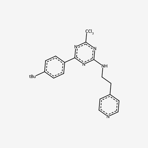 CC(C)(C)c1ccc(-c2nc(NCCc3ccncc3)nc(C(Cl)(Cl)Cl)n2)cc1